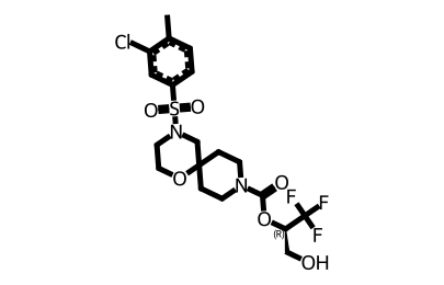 Cc1ccc(S(=O)(=O)N2CCOC3(CCN(C(=O)O[C@H](CO)C(F)(F)F)CC3)C2)cc1Cl